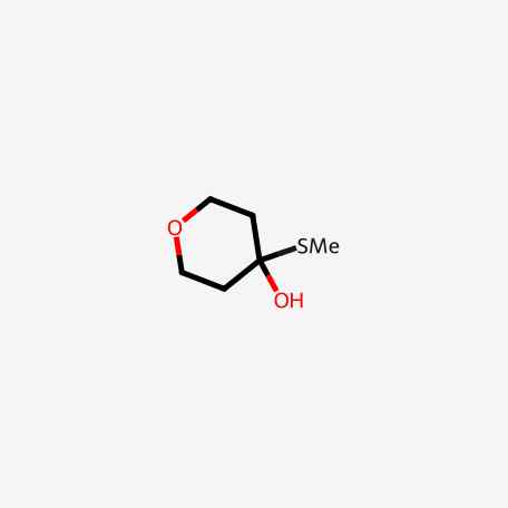 CSC1(O)CCOCC1